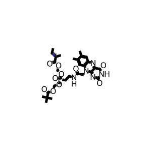 C/C=C(\C)C(=O)OCOP(=O)(CCNC(=O)Cn1c2nc(=O)[nH]c(=O)c-2nc2cc(C)c(C)cc21)OCOC(=O)C(C)(C)C